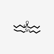 CCC[CH2][Sn](=[O])[CH2]CCC.CCC[CH2][Sn][CH2]CCC